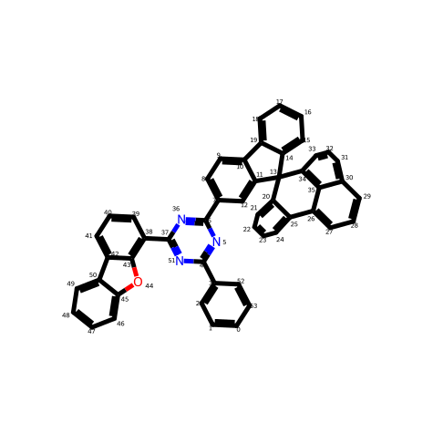 c1ccc(-c2nc(-c3ccc4c(c3)C3(c5ccccc5-4)c4ccccc4-c4cccc5cccc3c45)nc(-c3cccc4c3oc3ccccc34)n2)cc1